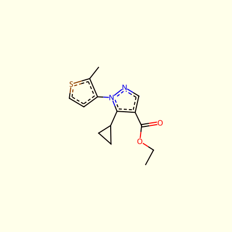 CCOC(=O)c1cnn(-c2ccsc2C)c1C1CC1